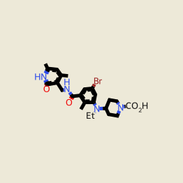 CCN(c1cc(Br)cc(C(=O)NCc2c(C)cc(C)[nH]c2=O)c1C)C1CCN(C(=O)O)CC1